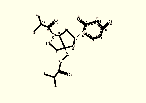 CC(C)C(=O)OC[C@@]1(CCl)O[C@@H](n2ccc(=O)[nH]c2=O)C[C@@H]1OC(=O)C(C)C